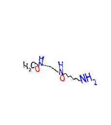 C=CC(=O)NCCCNC(=O)CCCCCCN